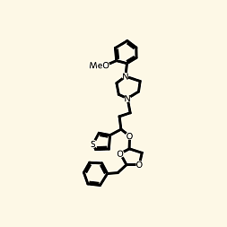 COc1ccccc1N1CCN(CCC(OC2COC(Cc3ccccc3)O2)c2ccsc2)CC1